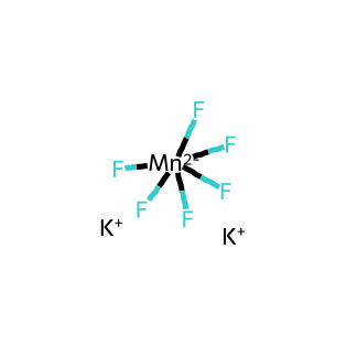 [F][Mn-2]([F])([F])([F])([F])[F].[K+].[K+]